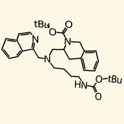 CC(C)(C)OC(=O)NCCCCN(Cc1nccc2ccccc12)CC1Cc2ccccc2CN1C(=O)OC(C)(C)C